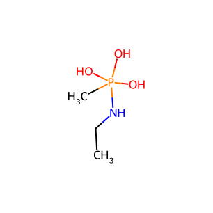 CCNP(C)(O)(O)O